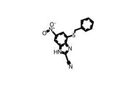 N#Cc1nc2c(SCc3ccccc3)cc([N+](=O)[O-])cc2[nH]1